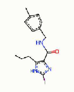 CCCc1[nH]c(I)nc1C(=O)NCc1ccc(C)cc1